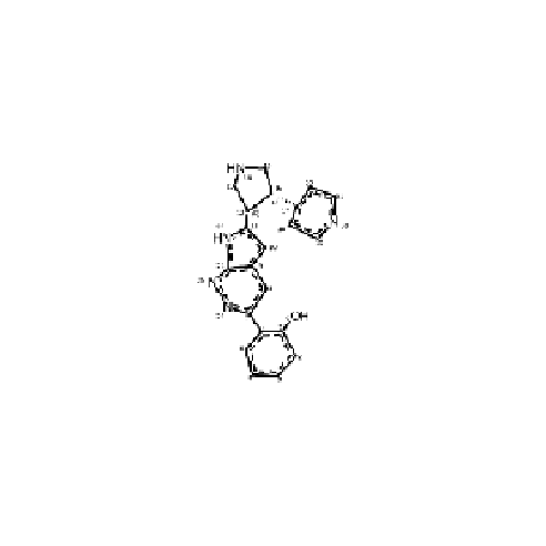 Oc1ccccc1-c1cc2cc([C@H]3CNC[C@@H]3c3ccncc3)[nH]c2nn1